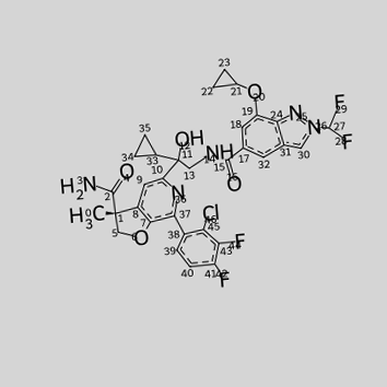 C[C@]1(C(N)=O)COc2c1cc(C(O)(CNC(=O)c1cc(OC3CC3)c3nn(C(F)F)cc3c1)C1CC1)nc2-c1ccc(F)c(F)c1Cl